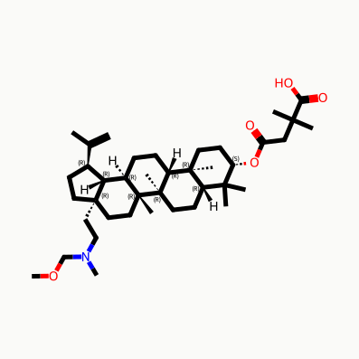 C=C(C)[C@@H]1CC[C@]2(CCN(C)COC)CC[C@]3(C)[C@H](CC[C@@H]4[C@@]5(C)CC[C@H](OC(=O)CC(C)(C)C(=O)O)C(C)(C)[C@@H]5CC[C@]43C)[C@@H]12